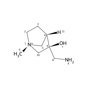 C[N@@+]12CC[C@@H](C1)[C@](O)(CN)C2